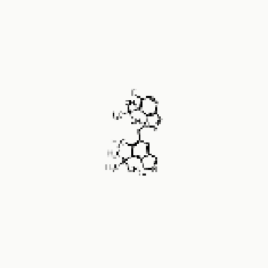 Cc1c(Cn2ncc3ccc(F)c(C(C)(C)C)c32)cc2cn[nH]c2c1C(C)(C)C